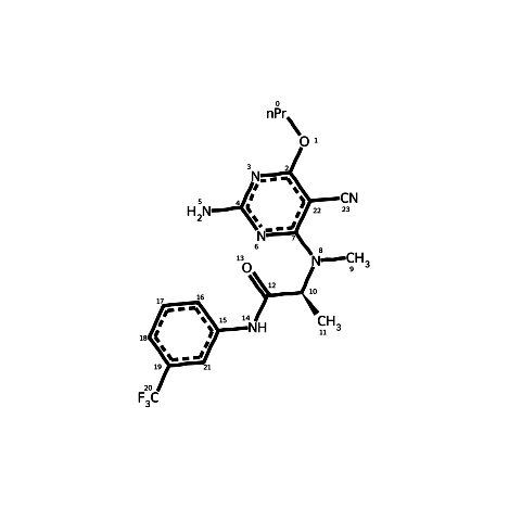 CCCOc1nc(N)nc(N(C)[C@@H](C)C(=O)Nc2cccc(C(F)(F)F)c2)c1C#N